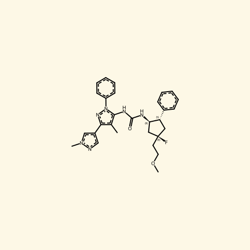 COCC[C@]1(F)C[C@@H](NC(=O)Nc2c(C)c(-c3cnn(C)c3)nn2-c2ccccc2)[C@H](c2ccccc2)C1